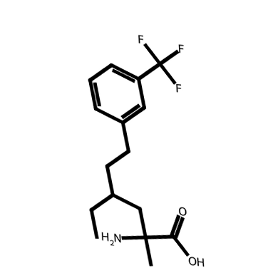 CCC(CCc1cccc(C(F)(F)F)c1)CC(C)(N)C(=O)O